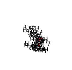 CC(C)(C)c1ccc2c(c1)C1(c3ccccc3-c3ccc(N(c4ccc5c(c4)C(C)(C)c4ccccc4-5)c4ccccc4-c4ccc(C(O)(O)O)cc4)cc31)c1cc(C(C)(C)C)ccc1-2